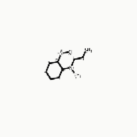 CCCN(C)C1CCCCC1NC